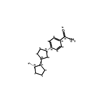 C[C@H]1CCCN1[C@H]1CC[C@H](c2ccc(C(N)=O)cc2)C1